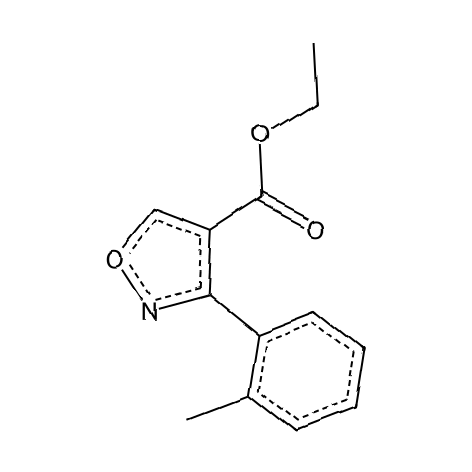 CCOC(=O)c1conc1-c1ccccc1C